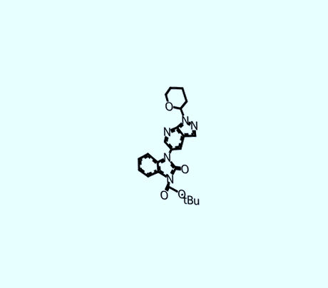 CC(C)(C)OC(=O)n1c(=O)n(-c2cnc3c(cnn3C3CCCCO3)c2)c2ccccc21